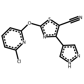 N#Cc1sc(Oc2cccc(Cl)n2)nc1-c1cn[nH]c1